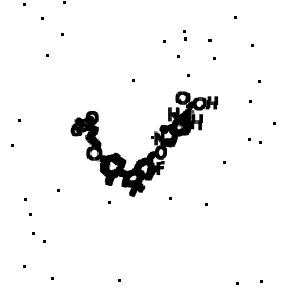 Cc1cc(OCCCS(C)(=O)=O)ccc1C1CC(C)(C)c2cc(F)c(COc3cc4c(cn3)[C@H]3[C@@H](C4)[C@@H]3C(=O)O)cc21